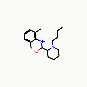 CCCCN1CCCCC1C(O)Nc1c(C)cccc1C